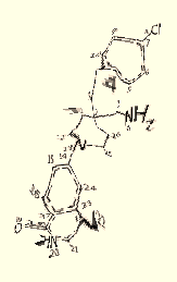 NCC1(Cc2ccc(Cl)cc2)CCN(c2ccc3c(=O)[nH]cnc3c2)CC1